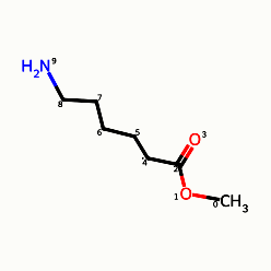 COC(=O)[CH]CCCCN